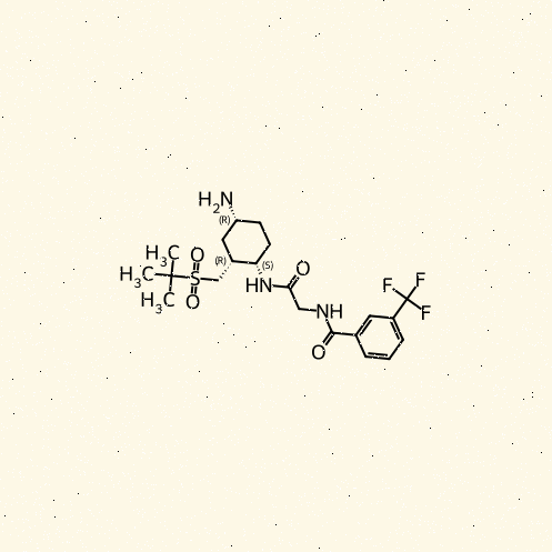 CC(C)(C)S(=O)(=O)C[C@@H]1C[C@H](N)CC[C@@H]1NC(=O)CNC(=O)c1cccc(C(F)(F)F)c1